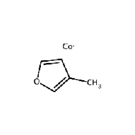 Cc1ccoc1.[Co]